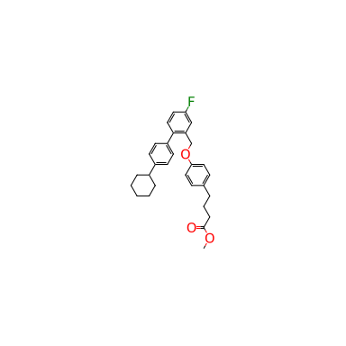 COC(=O)CCCc1ccc(OCc2cc(F)ccc2-c2ccc(C3CCCCC3)cc2)cc1